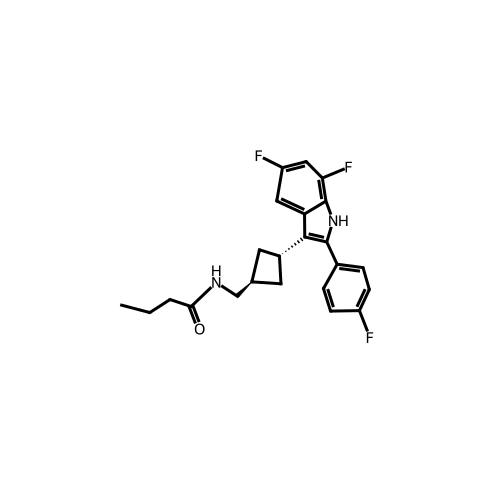 CCCC(=O)NC[C@H]1C[C@H](c2c(-c3ccc(F)cc3)[nH]c3c(F)cc(F)cc32)C1